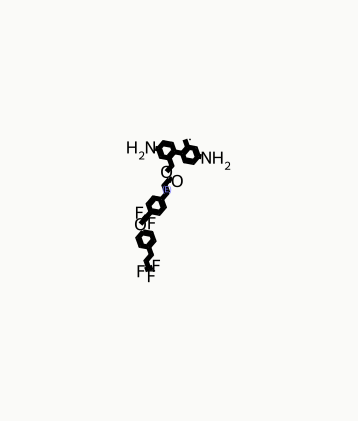 [CH2]c1cc(N)ccc1-c1ccc(N)cc1COC(=O)/C=C/c1ccc(C(F)(F)Oc2ccc(CCC(F)(F)F)cc2)cc1